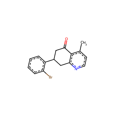 Cc1ccnc2c1C(=O)CC(c1ccccc1Br)C2